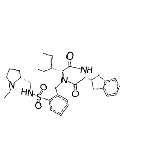 CCC(CC)[C@@H]1C(=O)N[C@H](C2Cc3ccccc3C2)C(=O)N1Cc1ccccc1S(=O)(=O)NC[C@H]1CCCN1CC